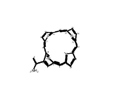 CC(N)C1=CC2=CC3=NC(=CC4=NC(=CC5=NC(=CC1=N2)C=C5)C=C4)C=C3